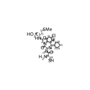 CSCC[C@H](NC(=O)CN1C(=O)C(N(C)C(=O)C(N)CS)N=C(c2ccccc2F)c2cc(Cl)ccc21)C(=O)O